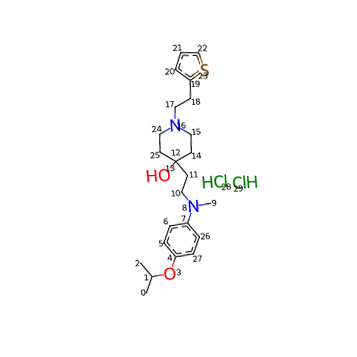 CC(C)Oc1ccc(N(C)CCC2(O)CCN(CCc3cccs3)CC2)cc1.Cl.Cl